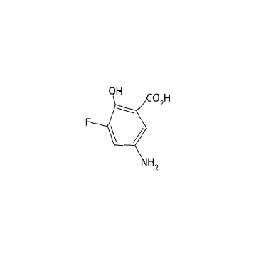 Nc1cc(F)c(O)c(C(=O)O)c1